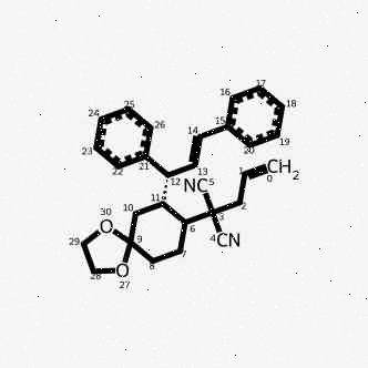 C=CCC(C#N)(C#N)C1CCC2(CC1[C@@H](/C=C/c1ccccc1)c1ccccc1)OCCO2